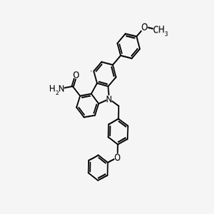 COc1ccc(-c2c[c]c3c4c(C(N)=O)cccc4n(Cc4ccc(Oc5ccccc5)cc4)c3c2)cc1